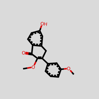 COC1=C(c2cccc(OC)c2)Cc2cc(O)ccc2C1=O